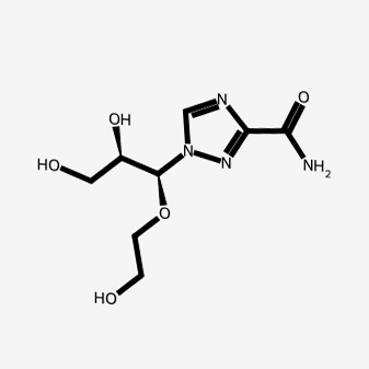 NC(=O)c1ncn([C@@H](OCCO)[C@H](O)CO)n1